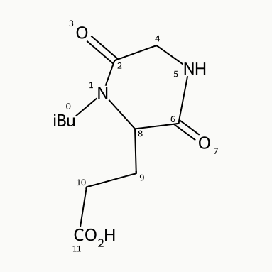 CCC(C)N1C(=O)CNC(=O)C1CCC(=O)O